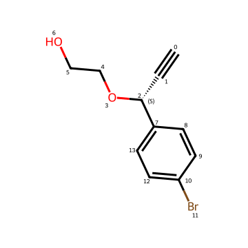 C#C[C@@H](OCCO)c1ccc(Br)cc1